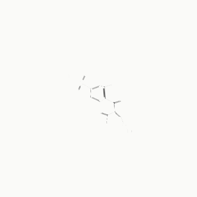 CCOC=C(C(=O)CC)C(=O)c1ccc(S(C)(=O)=O)cc1Cl